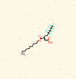 CCCCCCCCCCOC(=O)C(=CC(=O)O)CCC(F)(F)C(F)(F)C(F)(F)C(F)(F)F